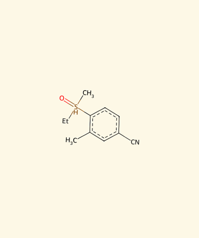 CC[SH](C)(=O)c1ccc(C#N)cc1C